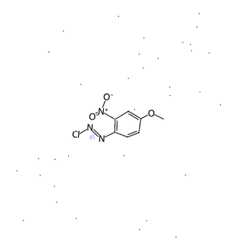 COc1ccc(/N=N/Cl)c([N+](=O)[O-])c1